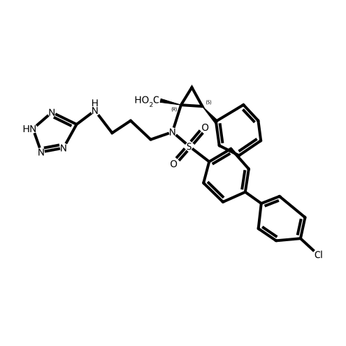 O=C(O)[C@@]1(N(CCCNc2nn[nH]n2)S(=O)(=O)c2ccc(-c3ccc(Cl)cc3)cc2)C[C@H]1c1ccccc1